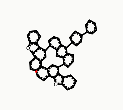 c1ccc(-c2ccc(-c3c4cccc(-c5cc6ccccc6c6oc7ccccc7c56)c4cc4c(-c5cc6ccccc6c6oc7ccccc7c56)cccc34)cc2)cc1